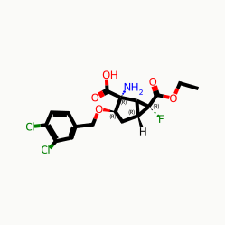 CCOC(=O)[C@]1(F)C2[C@H]1C[C@@H](OCc1ccc(Cl)c(Cl)c1)[C@@]2(N)C(=O)O